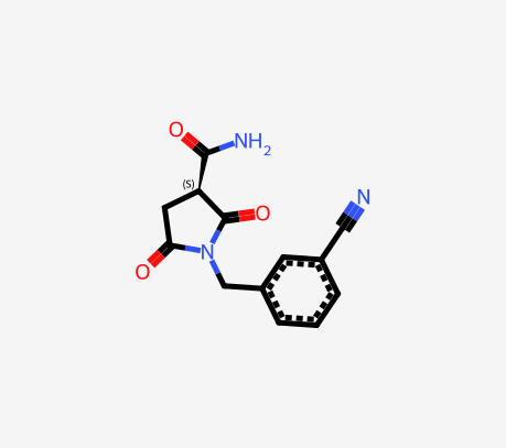 N#Cc1cccc(CN2C(=O)C[C@@H](C(N)=O)C2=O)c1